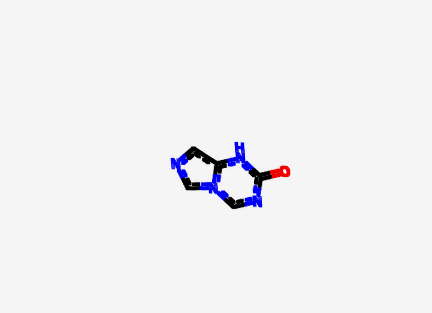 O=c1ncn2cncc2[nH]1